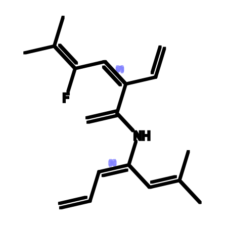 C=C/C=C(\C=C(C)C)NC(=C)/C(C=C)=C\C(F)=C(C)C